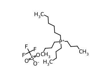 CCCCCC[P+](CCCC)(CCCC)CCCC.O=S(=O)([O-])C(F)(F)F